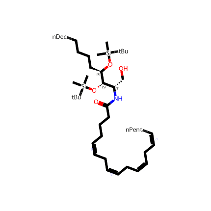 CCCCC/C=C\C/C=C\C/C=C\C/C=C\CCCC(=O)N[C@@H](CO)[C@H](O[Si](C)(C)C(C)(C)C)[C@@H](CCCCCCCCCCCCCC)O[Si](C)(C)C(C)(C)C